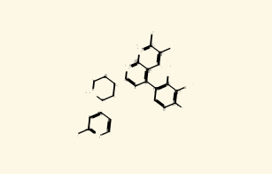 Cc1cc([C@H]2C[C@@H](c3cc(-c4ccc(Cl)c(F)c4F)c4cc(C)c(C)nc4n3)CCO2)ccn1